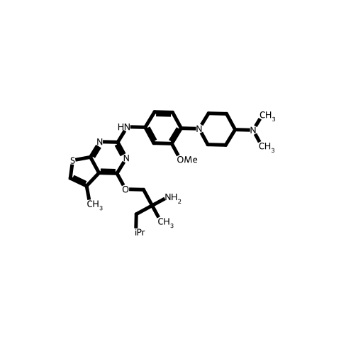 COc1cc(Nc2nc(OCC(C)(N)CC(C)C)c3c(C)csc3n2)ccc1N1CCC(N(C)C)CC1